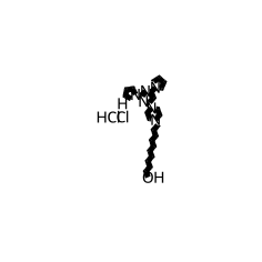 Cl.Cl.OCCCCCCCCCCN1CCN(c2cc(N3CCCC3)nc(N3CCCC3)n2)CC1